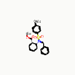 COc1ccc(S(=O)(=O)N(Cc2ccccc2)[C@@H]2CCCC[C@H]2C(=O)OC(C)(C)C)cc1